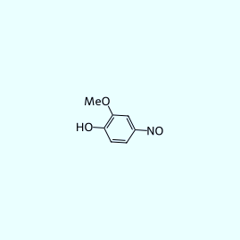 COc1cc(N=O)ccc1O